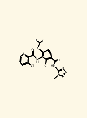 Cn1nnnc1NC(=O)c1ccc(OC(F)F)c(NC(=O)c2ncccc2Cl)c1Cl